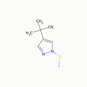 CC(C)(C#N)c1cnn(SI)c1